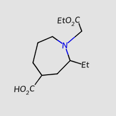 CCOC(=O)CN1CCCC(C(=O)O)CC1CC